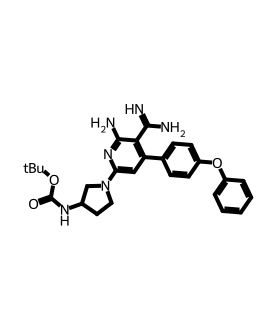 CC(C)(C)OC(=O)NC1CCN(c2cc(-c3ccc(Oc4ccccc4)cc3)c(C(=N)N)c(N)n2)C1